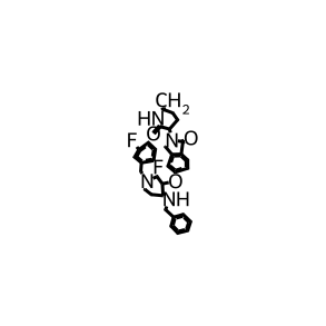 C=C1CCC(N2Cc3cc(OC4CN(Cc5cc(F)ccc5F)CCC4NCc4ccccc4)ccc3C2=O)C(=O)N1